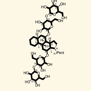 CCC[C@@H](C)[C@H]1CC[C@H]2[C@@H]3[C@H](O[C@@H]4OC(CO)[C@@H](O[C@H]5OC(CO)[C@@H](O)[C@H](O)C5O)[C@H](O)C4O)C[C@@H]4CCCC[C@]4(C)[C@H]3C[C@H](O[C@@H]3OC(CO)[C@@H](O[C@H]4OC(CO)[C@@H](O)[C@H](O)C4O)[C@H](O)C3O)[C@]12C